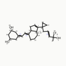 CC(O)(/C=C/CC1(C2=CCC3/C(=C/C=C4/CC(O)C[C@H](O)C4)CCC[C@]23C)CC1)C(F)(F)F